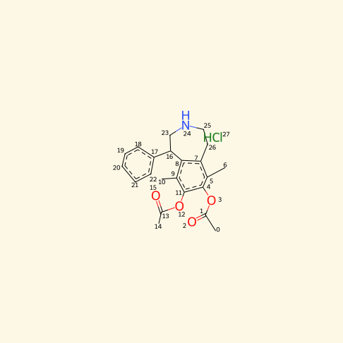 CC(=O)Oc1c(C)c2c(c(C)c1OC(C)=O)C(c1ccccc1)CNCC2.Cl